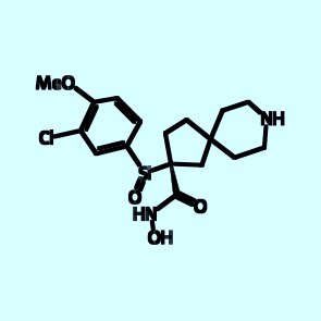 COc1ccc([Si](=O)[C@]2(C(=O)NO)CCC3(CCNCC3)C2)cc1Cl